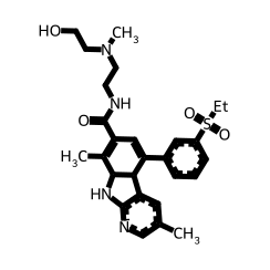 CCS(=O)(=O)c1cccc(C2=CC(C(=O)NCCN(C)CCO)=C(C)C3Nc4ncc(C)cc4C23)c1